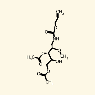 C=CCOC(=O)NC[C@@H](OC)[C@H](OC(C)=O)C(O)COC(C)=O